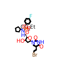 CCOC(=O)C1(NP(=O)(OC[C@H]2O[C@@H](n3cc(/C=C/Br)c(=O)[nH]c3=O)CC2O)Oc2ccc(F)cc2)CCCC1